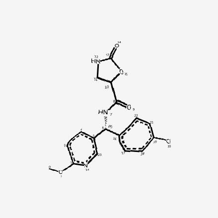 COc1ccc([C@H](NC(=O)C2CNC(=O)O2)c2ccc(Cl)cc2)cn1